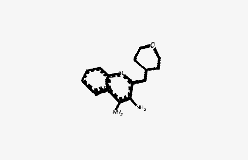 Nc1c(CC2CCOCC2)nc2ccccc2c1N